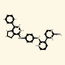 Nc1nccc(-c2cccnc2Oc2ccc(Nc3nnc(-c4ccccc4)c4c3CCC4)cc2)n1